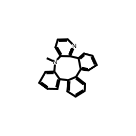 Cn1c2ccccc2c2ccccc2c2ccccc2c2ncccc21